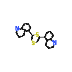 C1=C(c2cccc3ncccc23)SC(c2cccc3ncccc23)=CS1